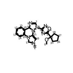 COC1(c2nc(N3C=NC4c5ccccc5N5CN(F)C=C5N43)no2)CCCC1